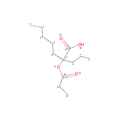 CCCCCC(CCC)(OC(=O)CC)C(=O)O